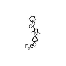 Cc1cc(C(=O)CN2CCCCC2)c(C)n1-c1ccc(OC(F)(F)F)cc1